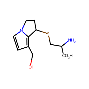 NC(CSC1CCn2ccc(CO)c21)C(=O)O